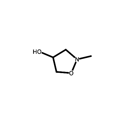 CN1CC(O)CO1